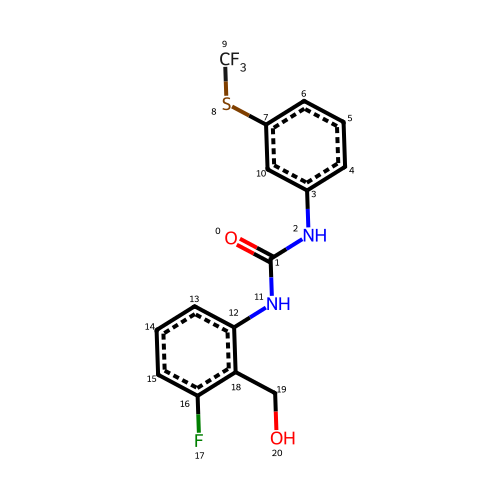 O=C(Nc1cccc(SC(F)(F)F)c1)Nc1cccc(F)c1CO